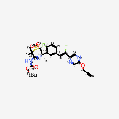 C#CCOc1cnc(/C(F)=C/c2ccc(F)c([C@]3(C)CS(=O)(=O)C(C)(C)C(NC(=O)OC(C)(C)C)=N3)c2)cn1